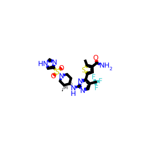 Cc1sc(-c2nc(N[C@H]3CCN(S(=O)(=O)c4c[nH]cn4)C[C@H]3C)ncc2C(F)(F)F)cc1C(N)=O